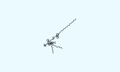 CCCCCCCCCCCCCCCCCCOC(=O)CCSCCC(NC(=O)C(CCCCCC)CCCCCCCC)C(=O)NCCN(C)C